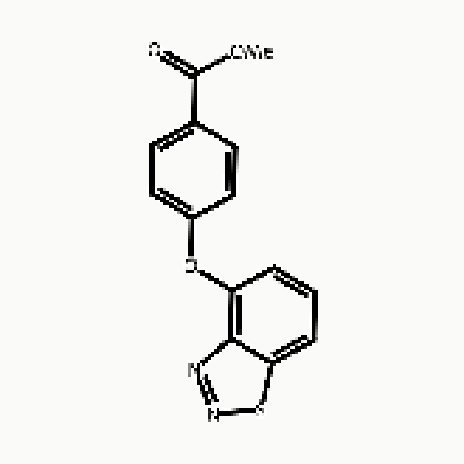 COC(=O)c1ccc(Oc2cccc3snnc23)cc1